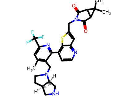 Cc1cc(C(F)(F)F)nc(-c2ccnc3cc(CN4C(=O)C5C(C4=O)C5(C)C)sc23)c1CN1CC[C@@H]2CNC[C@@H]21